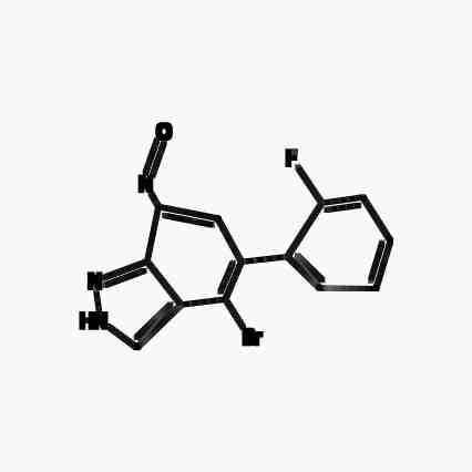 O=Nc1cc(-c2ccccc2F)c(Br)c2c[nH]nc12